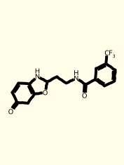 O=C1C=CC2=C(C1)OC(CCNC(=O)c1cccc(C(F)(F)F)c1)N2